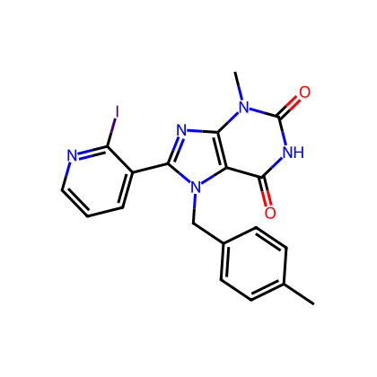 Cc1ccc(Cn2c(-c3cccnc3I)nc3c2c(=O)[nH]c(=O)n3C)cc1